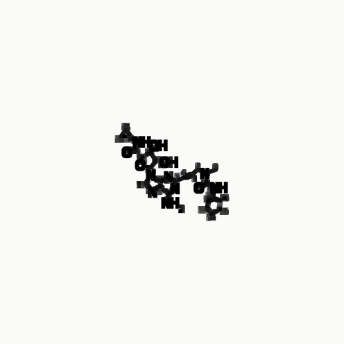 CN(CC#Cc1nc(N)c2ncn([C@@H]3O[C@H](C(=O)NC4CC4)C(O)[C@@H]3O)c2n1)C(=O)Nc1ccccc1